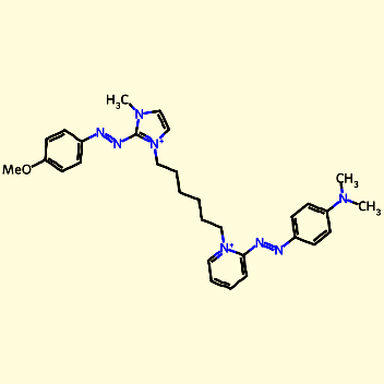 COc1ccc(/N=N/c2n(C)cc[n+]2CCCCCC[n+]2ccccc2/N=N/c2ccc(N(C)C)cc2)cc1